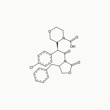 O=C(O)N1CCOCC1[C@@H](C(=O)N1C(=O)OCC1Cc1ccccc1)c1ccc(Cl)cc1